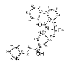 O=C(c1ccccc1-c1ccccc1)N(c1ccc(C(O)CCc2ccccn2)cc1)C(F)(F)F